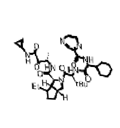 CCC1CC[C@H]2CN(C(=O)[C@@H](NC(=O)[C@@H](NC(=O)c3cnccn3)C3CCCCC3)C(C)(C)C)[C@H](C(=O)N[C@@H](C)C(=O)C(=O)NC3CC3)[C@@H]12